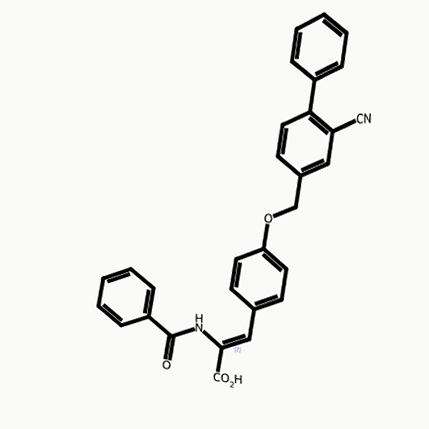 N#Cc1cc(COc2ccc(/C=C(\NC(=O)c3ccccc3)C(=O)O)cc2)ccc1-c1ccccc1